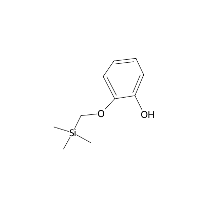 C[Si](C)(C)COc1ccccc1O